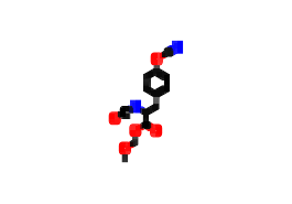 COCOC(=O)C(Cc1ccc(OC#N)cc1)N=C=O